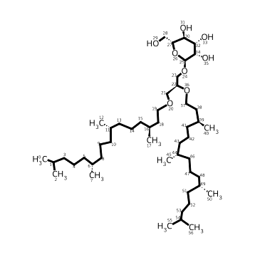 CC(C)CCC[C@@H](C)CCC[C@H](C)CCC[C@H](C)CCOC[C@@H](CO[C@H]1O[C@H](CO)[C@@H](O)[C@H](O)[C@@H]1O)OCC[C@@H](C)CCC[C@@H](C)CCC[C@H](C)CCCC(C)C